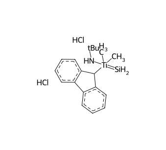 CC(C)(C)[NH][Ti]([CH3])([CH3])(=[SiH2])[CH]1c2ccccc2-c2ccccc21.Cl.Cl